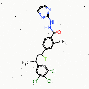 O=C(NNc1ncccn1)c1ccc(C(F)CC(c2cc(Cl)c(Cl)c(Cl)c2)C(F)(F)F)cc1C(F)(F)F